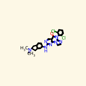 CN(C)C1Cc2ccc(Nc3ncc4c(=O)n(-c5c(Cl)cccc5Cl)c5nccn5c4n3)cc2C1